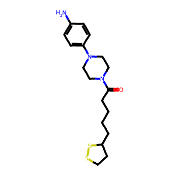 Nc1ccc(N2CCN(C(=O)CCCCC3CCSS3)CC2)cc1